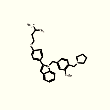 COc1cc(Cn2c(-c3ccc(OCCC(C)C(=O)O)cc3)cc3ccccc32)ccc1CN1CCCC1